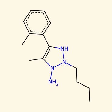 CCCCN1NC(c2ccccc2C)=C(C)N1N